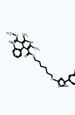 COC(=O)C1=C(C)NC(C)=C(C(=O)OCCCCCCOc2cc(-c3ccc(Cl)c(Cl)c3)[nH]n2)C1c1ccccc1[N+](=O)[O-]